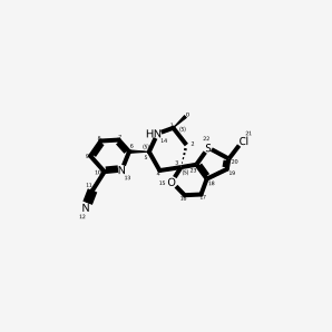 C[C@H]1C[C@@]2(C[C@@H](c3cccc(C#N)n3)N1)OCCc1cc(Cl)sc12